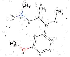 CCC(c1cccc(OC)c1)C(C)CN(C)C